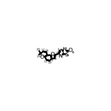 COc1nn2cc(-c3cc4ccc5c(c4o3)C=CC(C)(C)O5)nc2s1